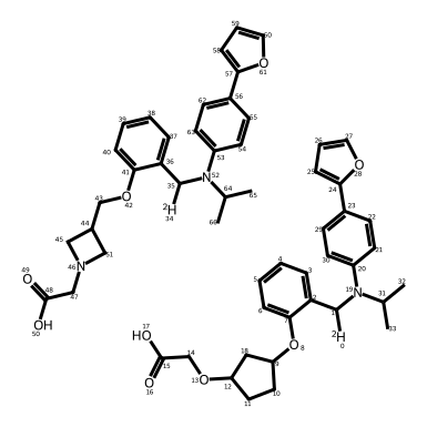 [2H]C(c1ccccc1OC1CCC(OCC(=O)O)C1)N(c1ccc(-c2ccco2)cc1)C(C)C.[2H]C(c1ccccc1OCC1CN(CC(=O)O)C1)N(c1ccc(-c2ccco2)cc1)C(C)C